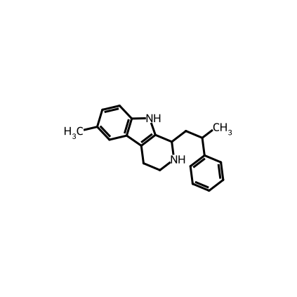 Cc1ccc2[nH]c3c(c2c1)CCNC3CC(C)c1ccccc1